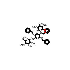 CC(=O)OC[C@H]1O[C@H](OC[C@H]2O[C@H](OCc3ccccc3)[C@@H](OCc3ccccc3)[C@@H](O[C@H]3O[C@H](COC(C)=O)[C@@H](OC(C)=O)[C@H](OC(C)=O)[C@@H]3OC(C)=O)[C@@H]2OCc2ccccc2)[C@@H](OC(C)=O)[C@@H](OC(C)=O)[C@@H]1OC(C)=O